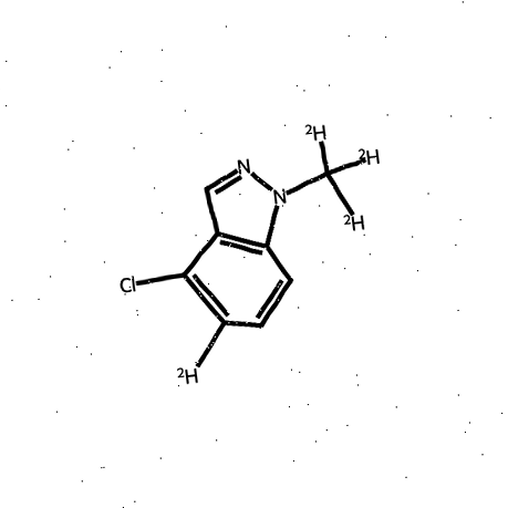 [2H]c1ccc2c(cnn2C([2H])([2H])[2H])c1Cl